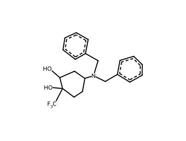 OC1CC(N(Cc2ccccc2)Cc2ccccc2)CCC1(O)C(F)(F)F